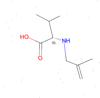 C=C(C)CN[C@H](C(=O)O)C(C)C